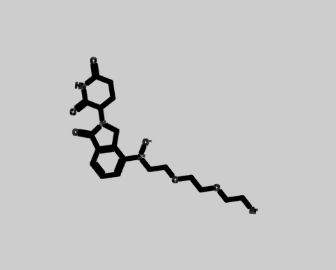 O=C1CCC(N2Cc3c(cccc3[S+]([O-])CCOCCOCCBr)C2=O)C(=O)N1